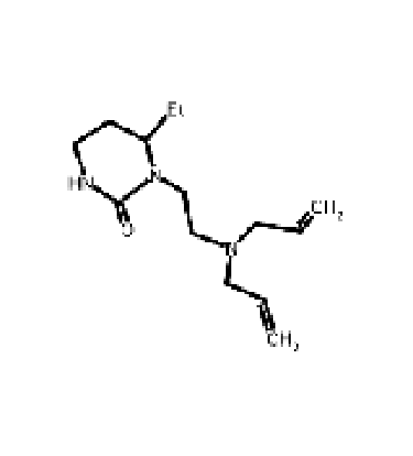 C=CCN(CC=C)CCN1C(=O)NCCC1CC